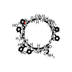 CCCC[C@@H]1NC(=O)[C@H](CC(=O)O)NC(=O)CN(C)C(=O)[C@H](CCCC)N(C)C(=O)[C@H](Cc2ccccc2)N(C)C(=O)[C@H](Cc2ccccc2)NC(=O)CSC[C@@H](C(=O)NCC(N)=O)NC(=O)[C@H](CC(C)C)NC(=O)[C@H](Cc2ccc(O)cc2)NC(=O)[C@H](Cc2c[nH]c3ccccc23)NC(=O)CN(C)C(=O)[C@H](Cc2ccc(O)cc2)NC(=O)C(Cc2ccccc2)N(C)C1=O